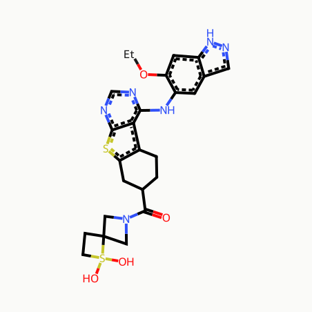 CCOc1cc2[nH]ncc2cc1Nc1ncnc2sc3c(c12)CCC(C(=O)N1CC2(CCS2(O)O)C1)C3